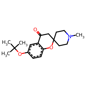 CN1CCC2(CC1)CC(=O)c1cc(OC(C)(C)C)ccc1O2